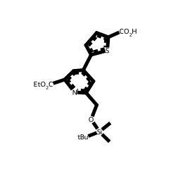 CCOC(=O)c1cc(-c2ccc(C(=O)O)s2)cc(CO[Si](C)(C)C(C)(C)C)n1